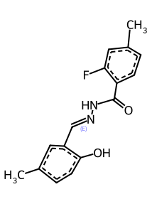 Cc1ccc(C(=O)N/N=C/c2cc(C)ccc2O)c(F)c1